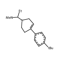 CCC(NC)N1CC=C(c2ccc(C(C)(C)C)cc2)CC1